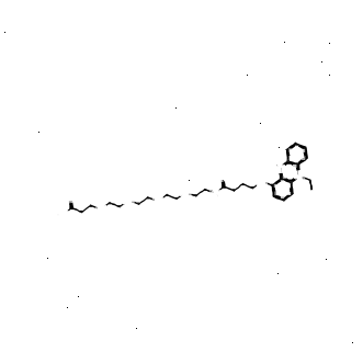 CC[n+]1c2ccccc2nc2c(OCCCC(=O)NCCOCCOCCOCCOCCC(=O)O)cccc21